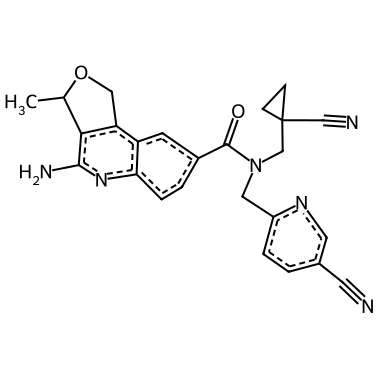 CC1OCc2c1c(N)nc1ccc(C(=O)N(Cc3ccc(C#N)cn3)CC3(C#N)CC3)cc21